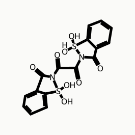 O=C(C(=O)N1C(=O)c2ccccc2S1(O)O)N1C(=O)c2ccccc2S1(O)O